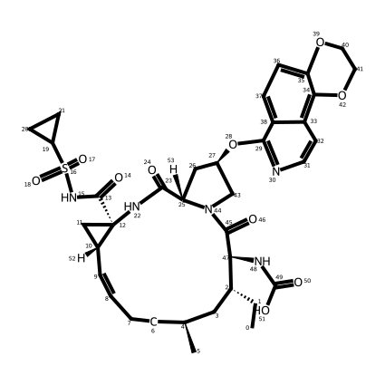 CC[C@@H]1C[C@@H](C)CC/C=C\[C@@H]2C[C@@]2(C(=O)NS(=O)(=O)C2CC2)NC(=O)[C@@H]2C[C@@H](Oc3nccc4c5c(ccc34)OCCO5)CN2C(=O)[C@H]1NC(=O)O